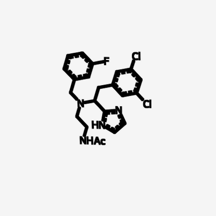 CC(=O)NCCN(Cc1cccc(F)c1)C(Cc1cc(Cl)cc(Cl)c1)c1ncc[nH]1